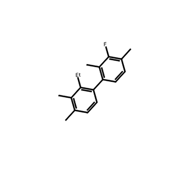 CCc1c(-c2ccc(C)c(F)c2C)ccc(C)c1C